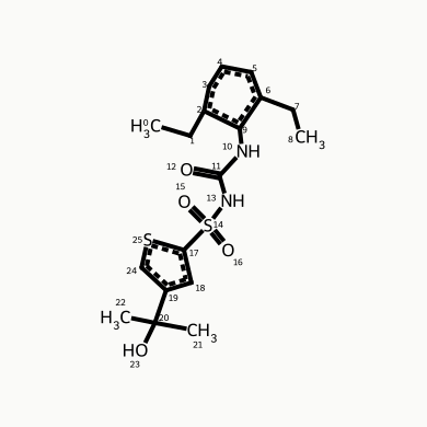 CCc1cccc(CC)c1NC(=O)NS(=O)(=O)c1cc(C(C)(C)O)cs1